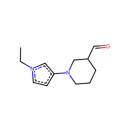 CCn1ccc(N2CCCC(C=O)C2)c1